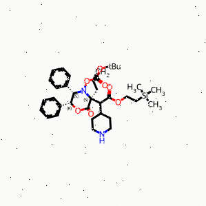 C=CC[C@]1(C(C(=O)OCC[Si](C)(C)C)C2CCNCC2)C(=O)O[C@H](c2ccccc2)[C@H](c2ccccc2)N1OC(=O)OC(C)(C)C